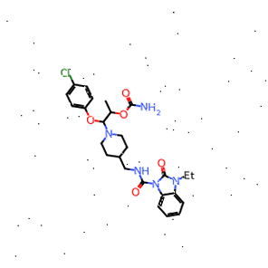 CCn1c(=O)n(C(=O)NCC2CCN(C(Oc3ccc(Cl)cc3)C(C)OC(N)=O)CC2)c2ccccc21